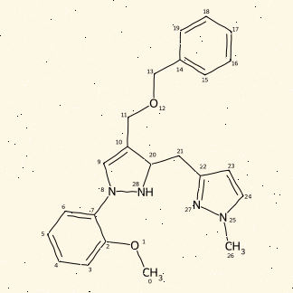 COc1ccccc1N1C=C(COCc2ccccc2)C(Cc2ccn(C)n2)N1